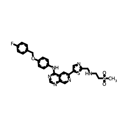 CS(=O)(=O)CCNCc1ncc(-c2cc3c(Nc4ccc(OCc5ccc(F)cc5)cc4)ncnc3cn2)s1